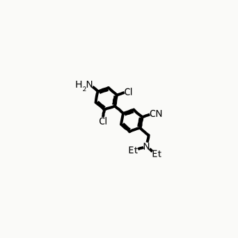 CCN(CC)Cc1ccc(-c2c(Cl)cc(N)cc2Cl)cc1C#N